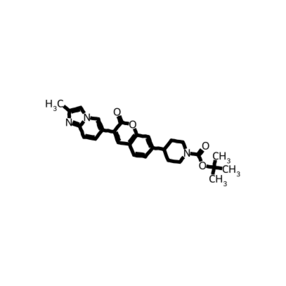 Cc1cn2cc(-c3cc4ccc(C5CCN(C(=O)OC(C)(C)C)CC5)cc4oc3=O)ccc2n1